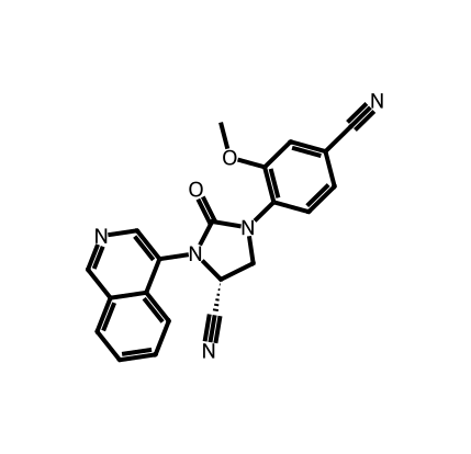 COc1cc(C#N)ccc1N1C[C@H](C#N)N(c2cncc3ccccc23)C1=O